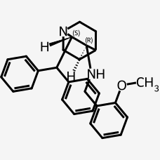 COc1ccccc1CN[C@@H]1C2CCN(CC2)[C@H]1C(c1ccccc1)c1ccccc1